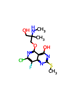 CNC(C)(CO)COc1nc(Cl)c(F)c2nc(SC)nc(O)c12